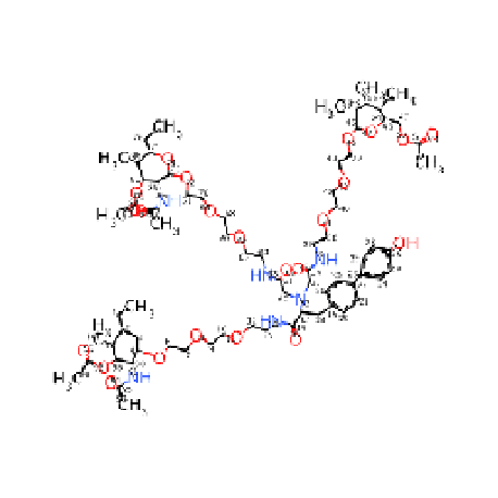 CC[C@H]1C[C@@H](OCCOCCOCCNC(=O)C(Cc2ccc(-c3ccc(O)cc3)cc2)N(CC(=O)NCCOCCOCCO[C@@H]2O[C@H](COC(C)=O)[C@H](C)[C@H](C)[C@H]2C)CC(=O)NCCOCCOCCO[C@@H]2O[C@H](CC)[C@H](C)[C@H](OC(C)=O)[C@H]2NC(C)=O)[C@H](NC(C)=O)[C@@H](OC(C)=O)[C@H]1C